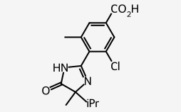 Cc1cc(C(=O)O)cc(Cl)c1C1=NC(C)(C(C)C)C(=O)N1